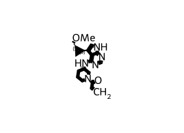 C=CC(=O)N1CCC[C@@H](Nc2ncnc3[nH]cc([C@H]4C[C@@H]4COC)c23)C1